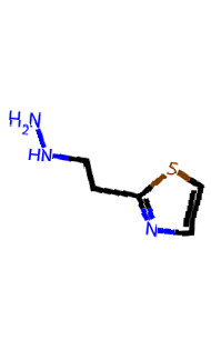 NNCCc1nccs1